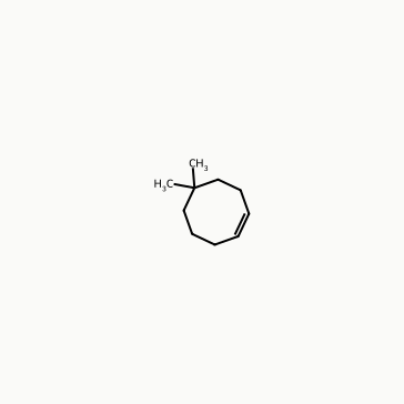 CC1(C)CCC=CCCC1